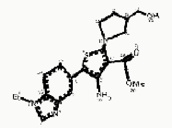 CCn1cnc2cc(-c3sc(N4CCC(CO)C4)c(C(=O)OC)c3N)ccc21